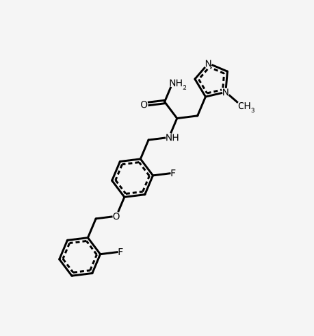 Cn1cncc1CC(NCc1ccc(OCc2ccccc2F)cc1F)C(N)=O